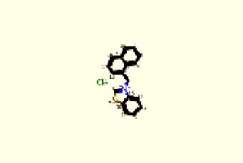 [Cl-].c1ccc2c(C[n+]3csc4ccccc43)cccc2c1